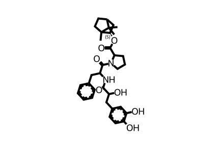 CC1(C)C2CCC1(C)[C@@H](OC(=O)C1CCCN1C(=O)C(Cc1ccccc1)NC(=O)C(O)Cc1ccc(O)c(O)c1)C2